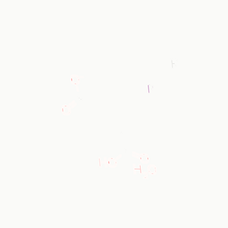 CCP(CC)CC.O.O=C([O-])c1cccc(C(=O)O)c1.[K+]